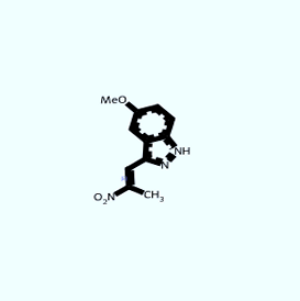 COc1ccc2[nH]nc(/C=C(\C)[N+](=O)[O-])c2c1